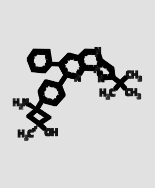 CC(C)(C)c1cc2ncc3cc(-c4ccccc4)c(-c4ccc([C@]5(N)C[C@@](C)(O)C5)cc4)nc3n2n1